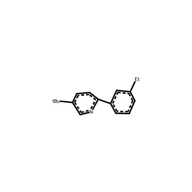 CCc1cccc(-c2ccc(C(C)(C)C)cn2)c1